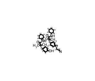 CC(C)(Sc1ccc(O)cc1)C(=O)NC1CCCCC1.CC(C)(Sc1ccc(OCC#N)cc1)C(=O)NC1CCCCC1